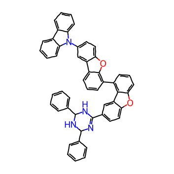 c1ccc(C2N=C(c3ccc4oc5cccc(-c6cccc7c6oc6ccc(-n8c9ccccc9c9ccccc98)cc67)c5c4c3)NC(c3ccccc3)N2)cc1